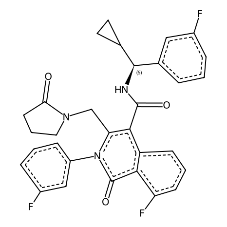 O=C(N[C@H](c1cccc(F)c1)C1CC1)c1c(CN2CCCC2=O)n(-c2cccc(F)c2)c(=O)c2c(F)cccc12